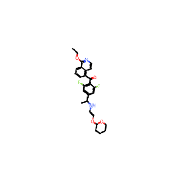 CCOc1nccc2c(C(=O)c3c(F)cc(C(C)NCCOC4CCCCO4)cc3F)cccc12